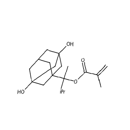 C=C(C)C(=O)OC(C)(C(C)C)C12CC3CC(O)(CC(O)(C3)C1)C2